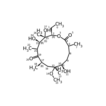 CC[C@H]1OC(=O)C(C)CC[C@@H](O)[C@](C)(OC)C[C@@H](C)C(=O)C(C)[C@@H](O)[C@]1(C)O